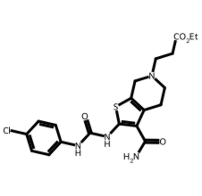 CCOC(=O)CCN1CCc2c(sc(NC(=O)Nc3ccc(Cl)cc3)c2C(N)=O)C1